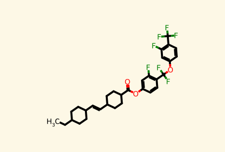 CCC1CCC(/C=C/C2CCC(C(=O)Oc3ccc(C(F)(F)Oc4ccc(C(F)(F)F)c(F)c4)c(F)c3)CC2)CC1